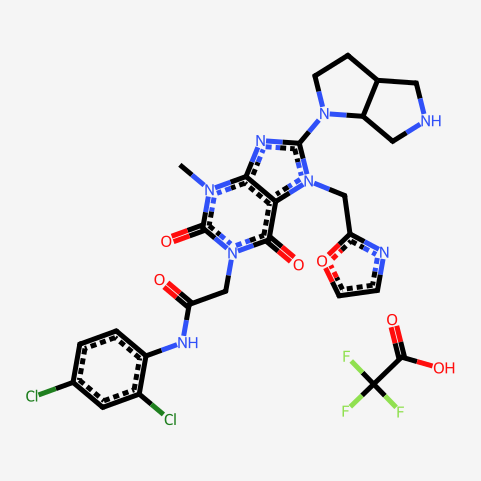 Cn1c(=O)n(CC(=O)Nc2ccc(Cl)cc2Cl)c(=O)c2c1nc(N1CCC3CNCC31)n2Cc1ncco1.O=C(O)C(F)(F)F